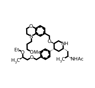 CCO[C@H](C)COCc1ccc([C@H]2C[C@@H](C[C@@H](C)NC(C)=O)NC[C@@H]2OCc2ccc3c(c2)N(CCCOC)CCO3)cc1